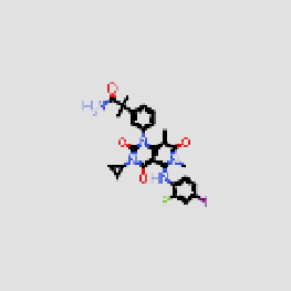 Cc1c(=O)n(C)c(Nc2ccc(I)cc2F)c2c(=O)n(C3CC3)c(=O)n(-c3cccc(C(C)(C)C(N)=O)c3)c12